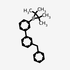 CC1(C)B(c2cccc(-c3cccc(Cc4ccccc4)c3)c2)C1(C)C